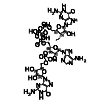 CC[C@H]1[C@@H](O)[C@H](n2c[n+](C)c3c(=O)[nH]c(N)nc32)O[C@@H]1COP(=O)(O)OP(=O)(O)OP(=O)(O)OC[C@H]1O[C@@H](n2cnc3c(N)ncnc32)[C@H](OC)[C@@H]1OP(=O)(O)OC[C@H]1O[C@@H](n2cnc3c(=O)[nH]c(N)nc32)[C@H](O)[C@@H]1O